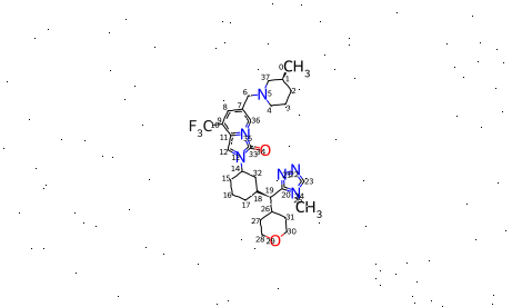 C[C@H]1CCCN(Cc2cc(C(F)(F)F)c3cn(C4CCCC([C@@H](c5nncn5C)C5CCOCC5)C4)c(=O)n3c2)C1